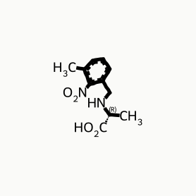 Cc1cccc(CN[C@H](C)C(=O)O)c1[N+](=O)[O-]